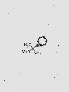 CN[Si](C)(C)C(C)(C)C.c1ccccc1